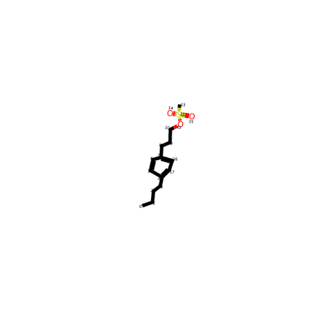 CCCCc1ccc(CCCOS(C)(=O)=O)cc1